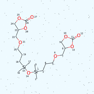 C[Si](C)(CCCOCC1COC(=O)O1)O[Si](C)(C)CCCOCC1COC(=O)O1